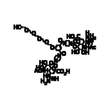 C#CCOCCOCCOCCOCCOc1cc(C(=O)N2CCN(C(=O)O[C@H]([C@H](O)CO)[C@@H]3OC(C(=O)O)=C[C@H](NC(=N)N)C3NC(C)=O)CC2)cc(C(=O)N2CCN(C(=O)O[C@@H]([C@@H]3OC(C(=O)O)=C[C@H](NC(=N)N)[C@H]3NC(C)=O)[C@H](O)CO)CC2)c1